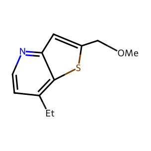 CCc1ccnc2cc(COC)sc12